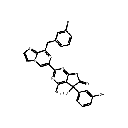 CC1(c2cccc(O)c2)C(=O)Nc2nc(-c3cn4ccnc4c(Cc4cccc(F)c4)n3)nc(N)c21